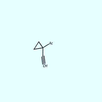 C#CC1(C(C)=O)CC1